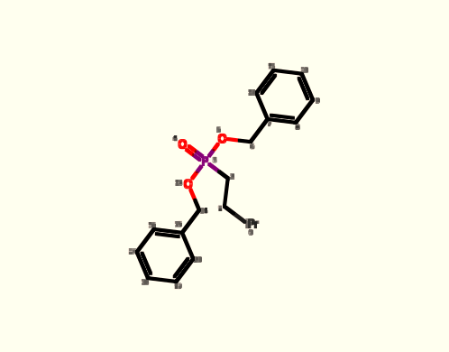 CC(C)CCP(=O)(OCc1ccccc1)OCc1ccccc1